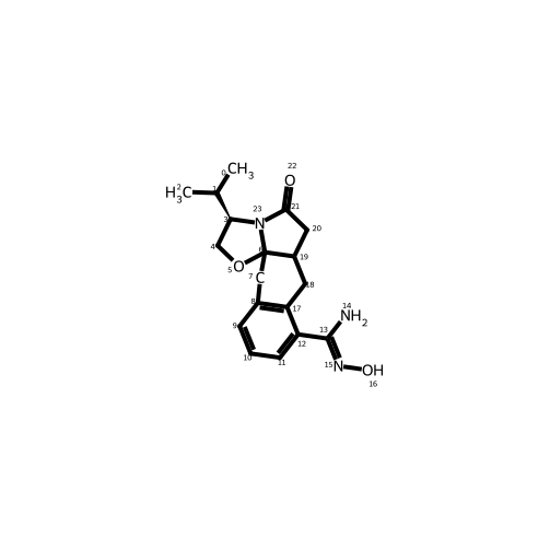 CC(C)[C@@H]1COC23Cc4cccc(/C(N)=N/O)c4CC2CC(=O)N13